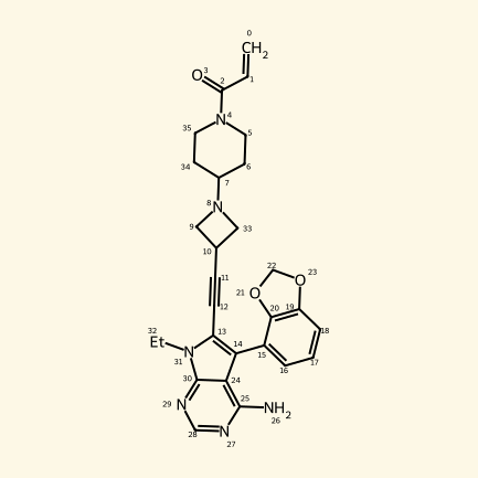 C=CC(=O)N1CCC(N2CC(C#Cc3c(-c4cccc5c4OCO5)c4c(N)ncnc4n3CC)C2)CC1